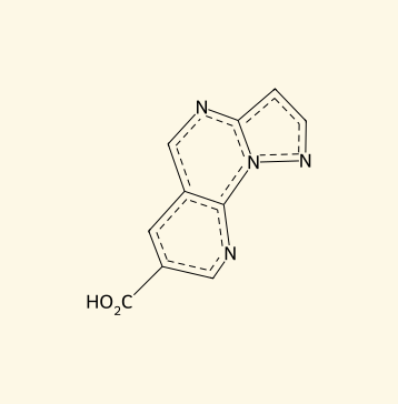 O=C(O)c1cnc2c(cnc3ccnn32)c1